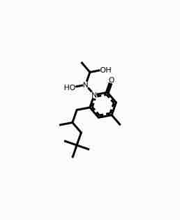 Cc1cc(CC(C)CC(C)(C)C)n(N(O)C(C)O)c(=O)c1